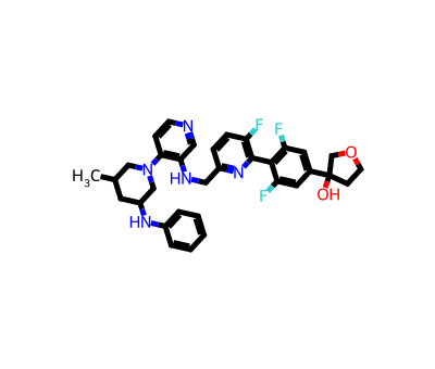 CC1CC(Nc2ccccc2)CN(c2ccncc2NCc2ccc(F)c(-c3c(F)cc(C4(O)CCOC4)cc3F)n2)C1